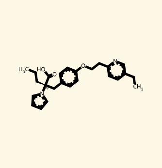 CCC[C@](Cc1ccc(OCCc2ccc(CC)cn2)cc1)(C(=O)O)n1cccc1